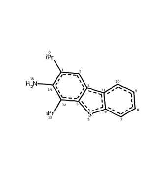 CC(C)c1cc2c(sc3ccccc32)c(C(C)C)c1N